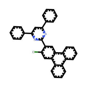 Clc1cc2c3ccccc3c3ccccc3c2cc1-c1nc(-c2ccccc2)cc(-c2ccccc2)n1